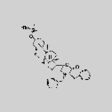 CC(C)(C)[Si](C)(C)O[C@H]1CC[C@@]2(C)C(=CC[C@@H]3[C@@H]2CC[C@]2(C)C([C@]4(C)CN(Cc5ccccc5)[C@H](Cc5ccccc5)C(=O)O4)CC[C@@H]32)C1